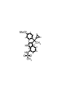 COc1ccc(C(C)(c2c[nH]c3c(NS(C)(=O)=O)cccc23)C2CC2)cc1